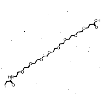 O=C(O)CCOCCOCCOCCOCCOCCOCCOCCOCCNC(=O)CI